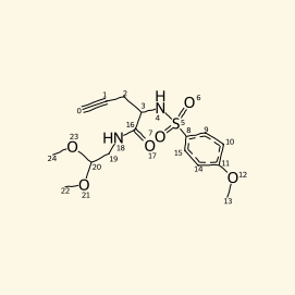 C#CCC(NS(=O)(=O)c1ccc(OC)cc1)C(=O)NCC(OC)OC